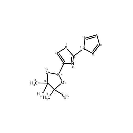 CC1(C)OB(c2csc(-n3cccc3)n2)OC1(C)C